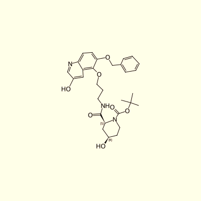 CC(C)(C)OC(=O)N1CC[C@@H](O)C[C@H]1C(=O)NCCCOc1c(OCc2ccccc2)ccc2ncc(O)cc12